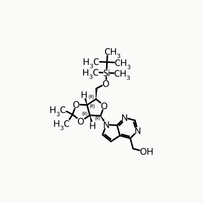 CC1(C)O[C@@H]2[C@H](O1)[C@@H](CO[Si](C)(C)C(C)(C)C)O[C@H]2n1ccc2c(CO)ncnc21